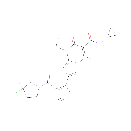 CC(C)(C)Cn1c(=O)c(C(=O)NC2CC2)c(O)n2nc(-c3[nH]ncc3C(=O)N3CCC(F)(F)C3)cc12